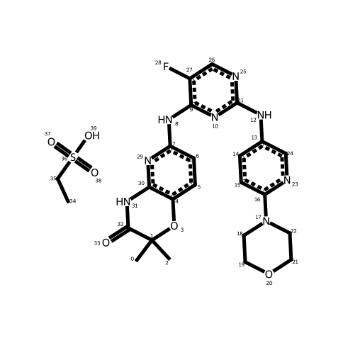 CC1(C)Oc2ccc(Nc3nc(Nc4ccc(N5CCOCC5)nc4)ncc3F)nc2NC1=O.CCS(=O)(=O)O